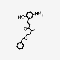 CC(CCOCc1ccccc1)C(=O)C=Cc1cc(N)ccc1C#N